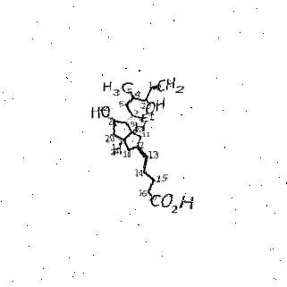 C=C[C@@H](O)C(C)CC(CC)[C@@H]1[C@H]2C/C(=C/CCCC(=O)O)C[C@H]2C[C@H]1O